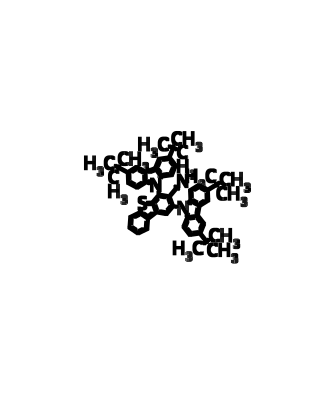 CC(C)(C)c1ccc2c(c1)c1cc(C(C)(C)C)ccc1n2-c1cc2c(sc3ccccc32)c(-n2c3ccc(C(C)(C)C)cc3c3cc(C(C)(C)C)ccc32)c1C#N